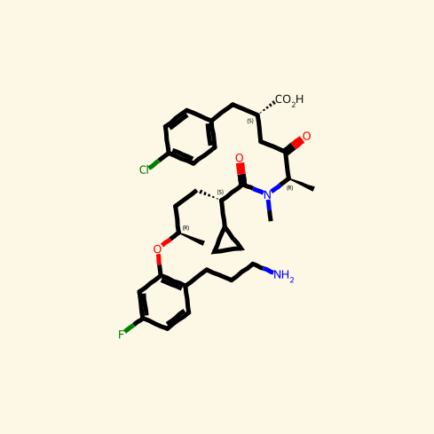 C[C@H](CC[C@H](C(=O)N(C)[C@H](C)C(=O)C[C@H](Cc1ccc(Cl)cc1)C(=O)O)C1CC1)Oc1cc(F)ccc1CCCN